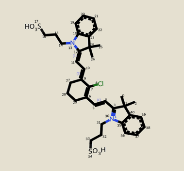 CC1(C)C(/C=C/C2=C(Cl)C(=C/C=C3/N(CCCS(=O)(=O)O)c4ccccc4C3(C)C)/CCC2)=[N+](CCCS(=O)(=O)O)c2ccccc21